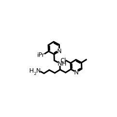 Cc1cnc(CC(CCCN)NCc2ncccc2C(C)C)c(Cl)c1